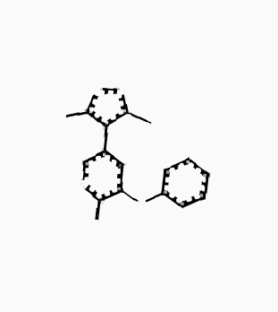 Cc1noc(C)c1-c1cnc(Cl)c(Nc2ccccc2)c1